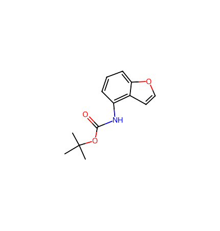 CC(C)(C)OC(=O)Nc1cccc2occc12